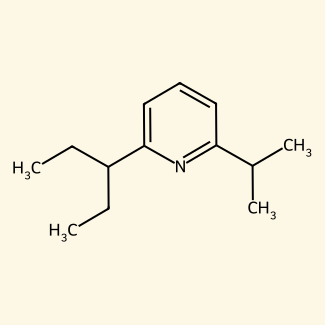 CCC(CC)c1cccc(C(C)C)n1